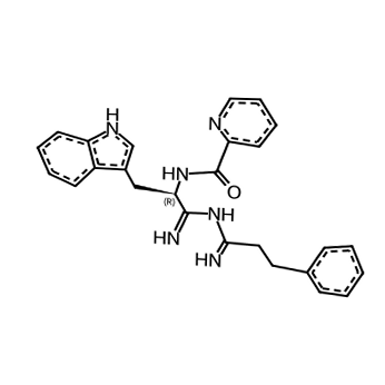 N=C(CCc1ccccc1)NC(=N)[C@@H](Cc1c[nH]c2ccccc12)NC(=O)c1ccccn1